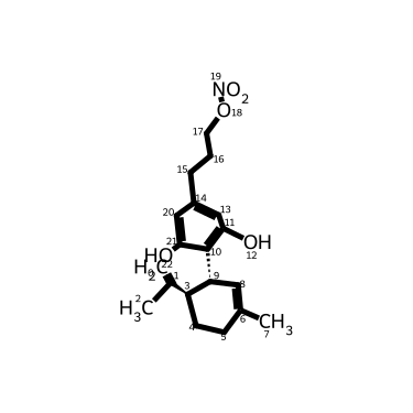 C=C(C)[C@@H]1CCC(C)=C[C@H]1c1c(O)cc(CCCO[N+](=O)[O-])cc1O